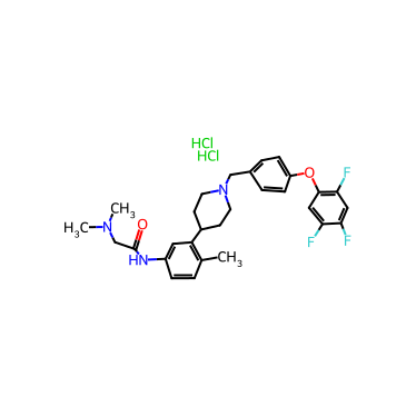 Cc1ccc(NC(=O)CN(C)C)cc1C1CCN(Cc2ccc(Oc3cc(F)c(F)cc3F)cc2)CC1.Cl.Cl